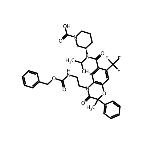 CC(C)N(C(=O)c1cc2c(cc1C(F)(F)F)OC(C)(c1ccccc1)C(=O)N2CCNC(=O)OCc1ccccc1)[C@@H]1CCCN(C(=O)O)C1